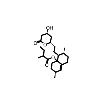 CCC(C)C(=O)OC12CC[C@H](C)C=C1CC[C@H](C)C2CC[C@H]1C[C@H](O)CC(=O)O1